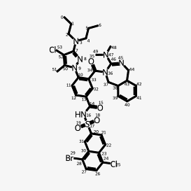 CCCN(CCC)c1nn(-c2ccc(C(=O)NS(=O)(=O)c3ccc4c(Cl)ccc(Br)c4c3)cc2C(=O)N2CC3C=CC=CC3CN=C2N(C)C)c(C)c1Cl